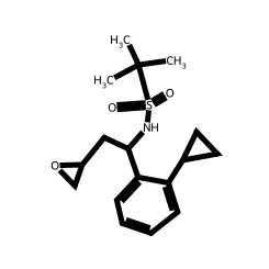 CC(C)(C)S(=O)(=O)NC(CC1CO1)c1ccccc1C1CC1